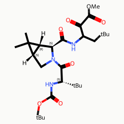 COC(=O)C(=O)C(CC(C)(C)C)NC(=O)[C@@H]1[C@@H]2[C@H](CN1C(=O)[C@@H](NC(=O)OC(C)(C)C)C(C)(C)C)C2(C)C